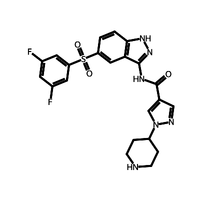 O=C(Nc1n[nH]c2ccc(S(=O)(=O)c3cc(F)cc(F)c3)cc12)c1cnn(C2CCNCC2)c1